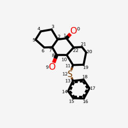 O=C1C2CCCCC2C(=O)C2C(Sc3ccccc3)CCCC12